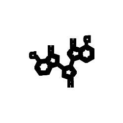 Clc1cccc2c(-c3c[nH]cc3-c3c[nH]c4c(Cl)cccc34)c[nH]c12